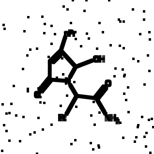 CCCC1=CC(=O)N(C(CC)C(N)=O)C1O